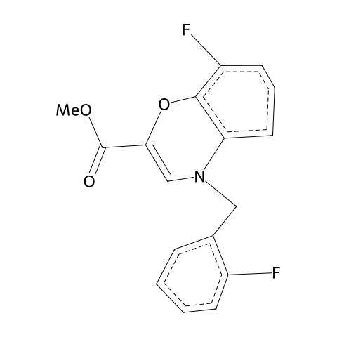 COC(=O)C1=CN(Cc2ccccc2F)c2cccc(F)c2O1